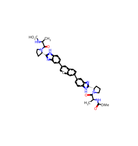 COC(=O)NC(C)C(=O)N1CCC[C@H]1c1nc2cc(-c3ccc4cc(-c5ccc6[nH]c([C@@H]7CCCN7C(=O)C(C)NC(=O)O)nc6c5)ccc4c3)ccc2[nH]1